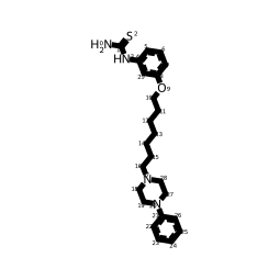 NC(=S)Nc1cccc(OCCCCCCCN2CCN(c3ccccc3)CC2)c1